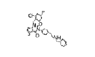 O=c1c2sccc2n(Cc2ccc(F)cc2Cl)c(=O)n1-c1ccc(CCNCc2ccccc2)cc1